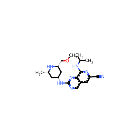 COC[C@@H]1C[C@H](Nc2ncc3cc(C#N)nc(NC(C)C)c3n2)C[C@H](C)N1